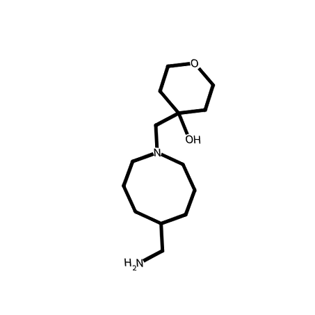 NCC1CCCN(CC2(O)CCOCC2)CCC1